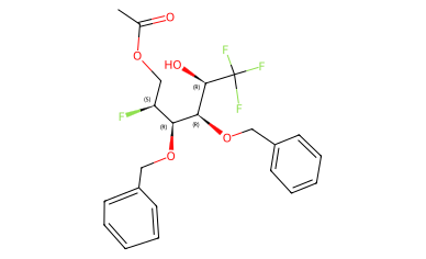 CC(=O)OC[C@H](F)[C@H](OCc1ccccc1)[C@H](OCc1ccccc1)[C@@H](O)C(F)(F)F